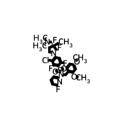 COc1ccc(CN(c2cccc(F)n2)S(=O)(=O)c2c(F)cc(N3CC[C@@](CN(C)C)(C(C)(F)F)C3)c(Cl)c2F)c(OC)c1